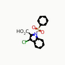 O=C(O)c1c(Cl)c2ccccc2n1S(=O)(=O)c1ccccc1